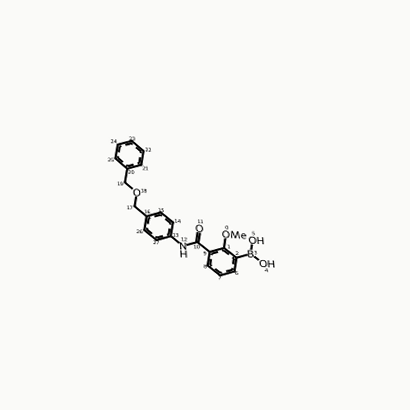 COc1c(B(O)O)cccc1C(=O)Nc1ccc(COCc2ccccc2)cc1